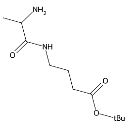 CC(N)C(=O)NCCCC(=O)OC(C)(C)C